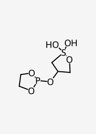 OS1(O)CC(OP2OCCO2)CO1